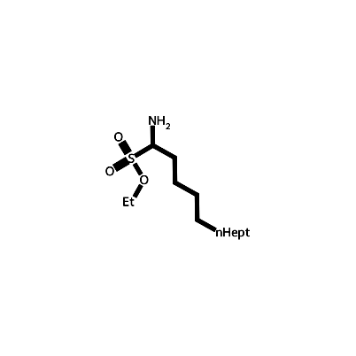 CCCCCCCCCCCC(N)S(=O)(=O)OCC